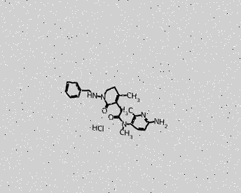 CC1=C(CC(=O)N(C)c2ccc(N)nc2C)C(=O)N(NCc2ccccc2)CC1.Cl